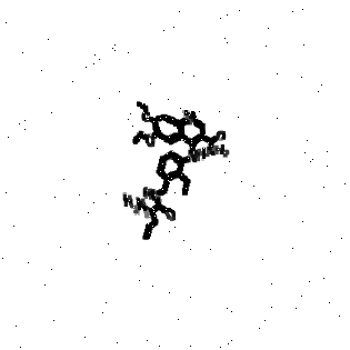 C=CC[C@H](N)C(=O)NCc1cccc(Nc2c(C(N)=O)cnc3cc(OCC)c(OCC)cc23)c1CC